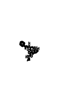 CC(CC(=O)N[C@@H](CC(C)(C)C)C(=O)NC(CC1CCNC1=O)C(=O)C(=O)NC1CC1)c1ccccc1